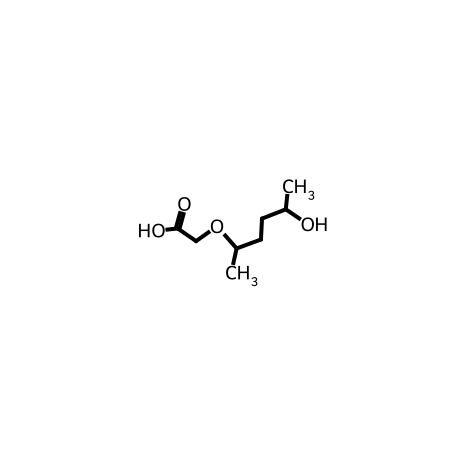 CC(O)CCC(C)OCC(=O)O